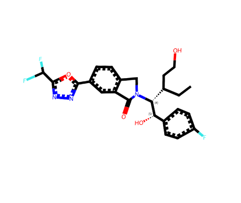 CCC(CCO)[C@H]([C@@H](O)c1ccc(F)cc1)N1Cc2ccc(-c3nnc(C(F)F)o3)cc2C1=O